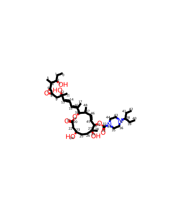 CCC(O)C(C)C1OC1CC(C)(O)/C=C/C=C(\C)C1OC(=O)CC(O)CCC(C)(O)C(OC(=O)N2CCN(C(CC)CC)CC2)/C=C/C1C